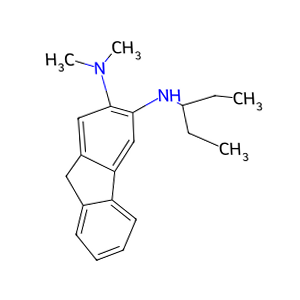 CCC(CC)Nc1cc2c(cc1N(C)C)Cc1ccccc1-2